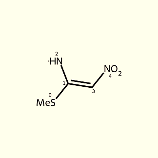 CSC([NH])=C[N+](=O)[O-]